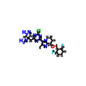 Cc1nc2c(OCc3c(F)cccc3F)cccn2c1-c1nc(Cl)nc(CC(C)(N)CN)n1